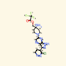 NC1(COC(=O)C(F)(F)F)CCN(c2cnc3c(-c4ccnnc4Cl)n[nH]c3n2)CC1